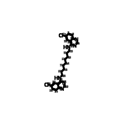 Clc1ccc2ncnc(NCCCCCCCCCNc3ncnc4ccc(Cl)cc34)c2c1